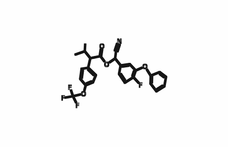 CC(C)C(C(=O)OC(C#N)c1ccc(F)c(Oc2ccccc2)c1)c1ccc(OC(F)(F)F)cc1